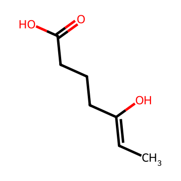 CC=C(O)CCCC(=O)O